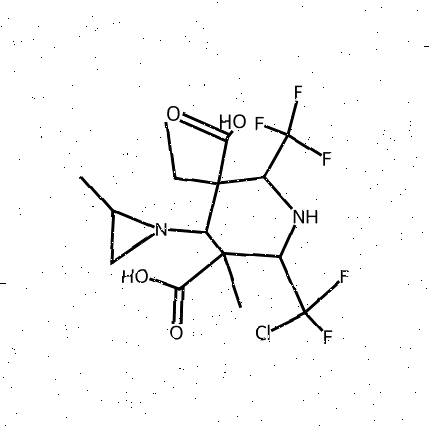 CCC1(C(=O)O)C(C(F)(F)F)NC(C(F)(F)Cl)C(C)(C(=O)O)C1N1CC1C